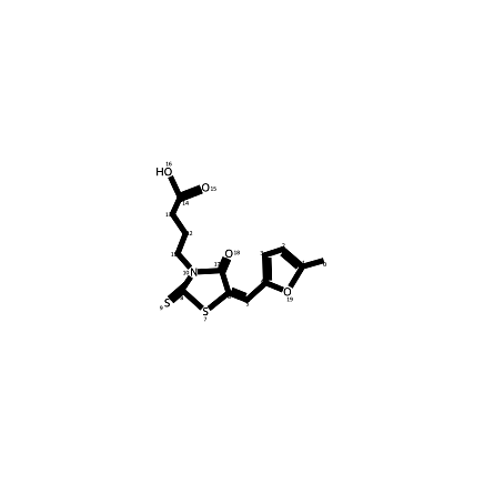 Cc1ccc(C=C2SC(=S)N(CCCC(=O)O)C2=O)o1